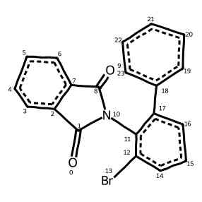 O=C1c2ccccc2C(=O)N1c1c(Br)cccc1-c1ccccc1